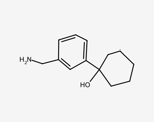 NCc1cccc(C2(O)C[CH]CCC2)c1